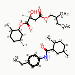 CC(=O)OCC(COC(=O)C[C@](C)(O)C(=O)OC1C[C@H](C)CCC1C(C)C)OC(C)=O.CC(C)C1CC[C@@H](C)CC1C(=O)Nc1ccc(CC#N)cc1